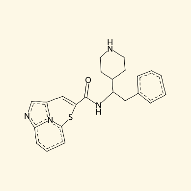 O=C(NC(Cc1ccccc1)C1CCNCC1)C1=Cc2cnc3cccc(n23)S1